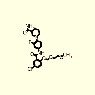 COCCOCOc1ccc(Cl)cc1C(=O)Nc1ccc(N2CCCC(C(N)=O)C2)c(F)c1